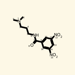 CN(C)CCCNC(=O)c1cc([N+](=O)[O-])cc([N+](=O)[O-])c1